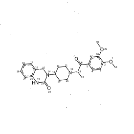 COc1ccc(C(=O)C(C)N2CCC(N3Cc4ccccc4NC3=O)CC2)cc1OC